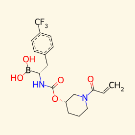 C=CC(=O)N1CCC[C@H](OC(=O)N[C@@H](Cc2ccc(C(F)(F)F)cc2)B(O)O)C1